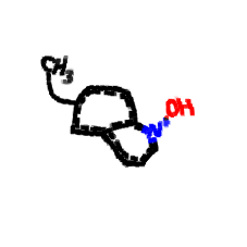 CCc1ccc2c(ccc[n+]2O)c1